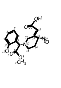 COC(=O)[C@H](c1ccccc1Cl)N1CC[C@H](N=O)C(=CC(=O)O)C1